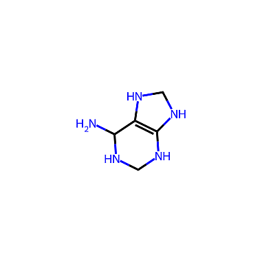 NC1NCNC2=C1NCN2